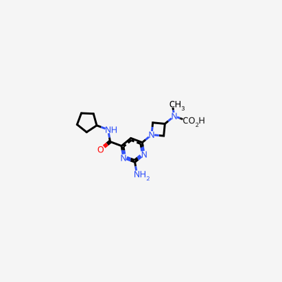 CN(C(=O)O)C1CN(c2cc(C(=O)NC3CCCC3)nc(N)n2)C1